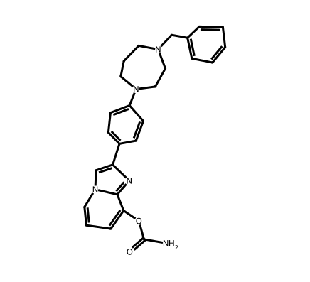 NC(=O)Oc1cccn2cc(-c3ccc(N4CCCN(Cc5ccccc5)CC4)cc3)nc12